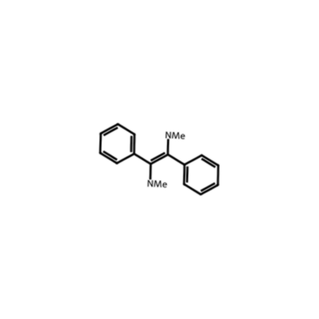 CN/C(=C(/NC)c1ccccc1)c1ccccc1